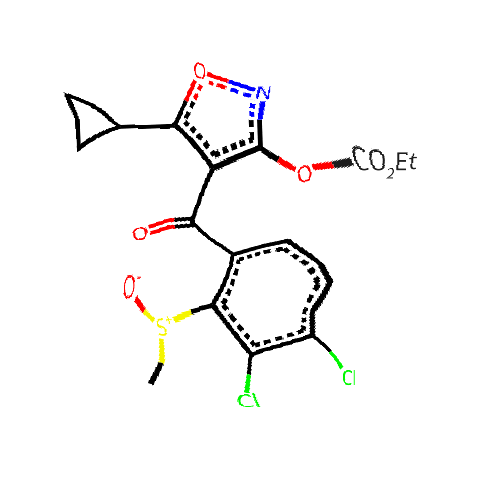 CCOC(=O)Oc1noc(C2CC2)c1C(=O)c1ccc(Cl)c(Cl)c1[S+](C)[O-]